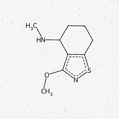 CNC1CCCc2snc(OC)c21